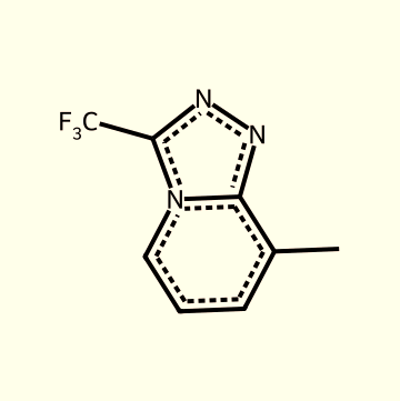 Cc1cccn2c(C(F)(F)F)nnc12